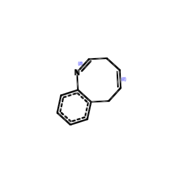 C1=C\Cc2ccccc2/N=C\C/1